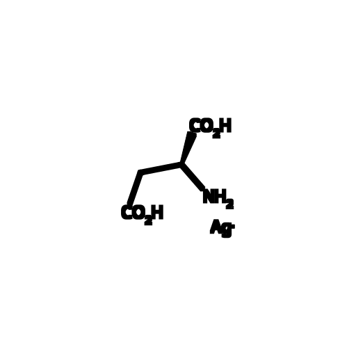 N[C@@H](CC(=O)O)C(=O)O.[Ag]